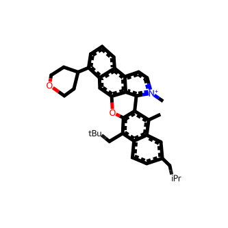 Cc1c2c(c(CC(C)(C)C)c3ccc(CC(C)C)cc13)Oc1cc3c(C4CCOCC4)cccc3c3cc[n+](C)c-2c13